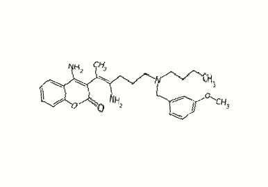 CCCCN(CCC/C(N)=C(\C)c1c(N)c2ccccc2oc1=O)Cc1cccc(OC)c1